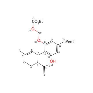 C=C(C)C1CCC(C)=CC1c1c(O)cc(CCCCC)cc1OCOC(=O)OCC